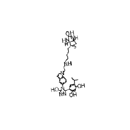 CC(C)c1cc(-c2nnc(O)n2-c2ccc3c(ccn3CCNCCCCC[C@@H]3SC[C@H]4NC(=O)N[C@@H]34)c2)c(O)cc1O